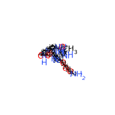 CC1CNCCN1C(=O)CNc1ccc2c(c1NCc1cn(CCOCCOCCOCN)nn1)C(=O)N(C1CCC(=O)NC1=O)C2